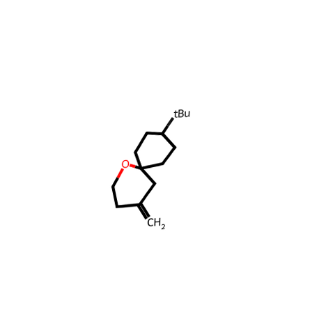 C=C1CCOC2(CCC(C(C)(C)C)CC2)C1